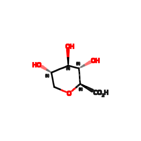 O=C(O)[C@H]1OC[C@H](O)[C@@H](O)[C@@H]1O